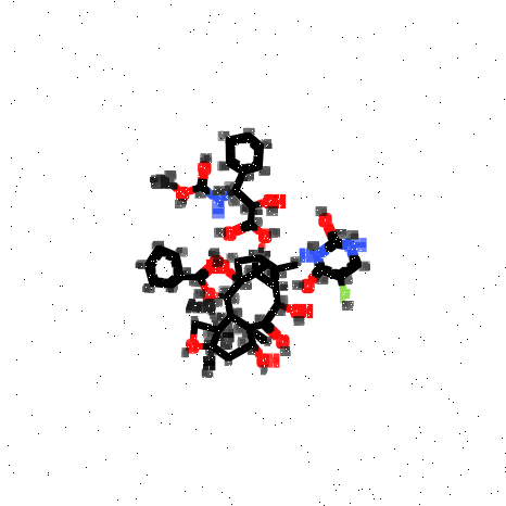 CC(=O)O[C@@]12CO[C@@H]1C[C@H](O)[C@@]1(C)C(=O)[C@H](O)C3=C(C)[C@@H](OC(=O)[C@H](O)[C@@H](NC(=O)OC(C)(C)C)c4ccccc4)C[C@@](O)([C@@H](OC(=O)c4ccccc4)[C@H]21)C3(C)C.O=c1[nH]cc(F)c(=O)[nH]1